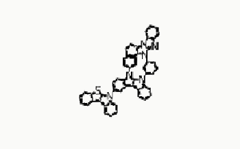 c1ccc(-n2c3ccc(-n4c5ccccc5c5c6ccccc6sc54)cc3c3c4ccccc4n(-c4cccc(-n5c6ccccc6n6c7ccccc7nc56)c4)c32)cc1